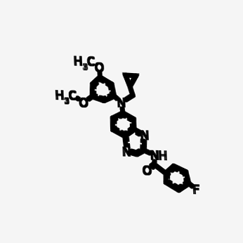 COc1cc(OC)cc(N(CC2CC2)c2ccc3ncc(NC(=O)c4ccc(F)cc4)nc3c2)c1